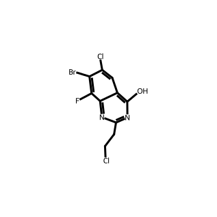 Oc1nc(CCCl)nc2c(F)c(Br)c(Cl)cc12